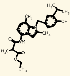 CCOC(=O)C(C)C(=O)Nc1ccc(C)c2c1cc(C)n2Cc1ccc(O)c(C(C)C)c1